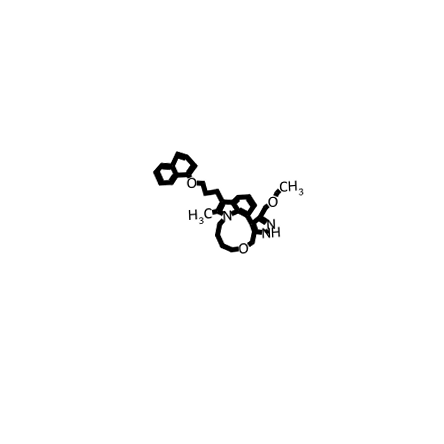 CCOCc1n[nH]c2c1-c1cccc3c(CCCOc4cccc5ccccc45)c(C)n(c13)CCCCOC2